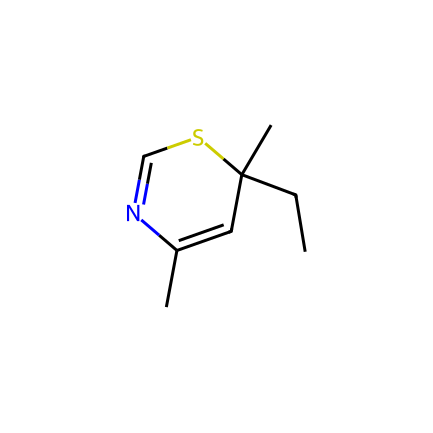 CCC1(C)C=C(C)N=CS1